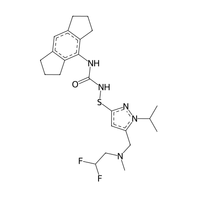 CC(C)n1nc(SNC(=O)Nc2c3c(cc4c2CCC4)CCC3)cc1CN(C)CC(F)F